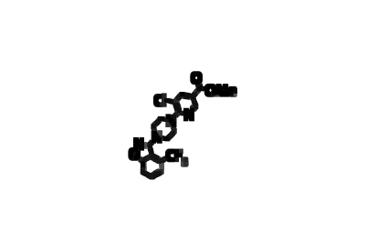 COC(=O)c1cnc(N2CCN(c3noc4cccc(C(F)(F)F)c34)CC2)c(Cl)c1